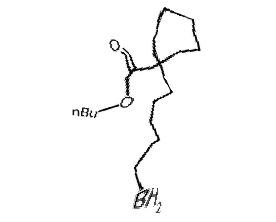 BCCCCC1(C(=O)OCCCC)CCCC1